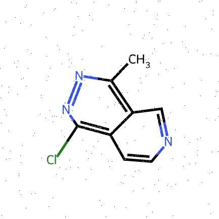 Cc1nnc(Cl)c2ccncc12